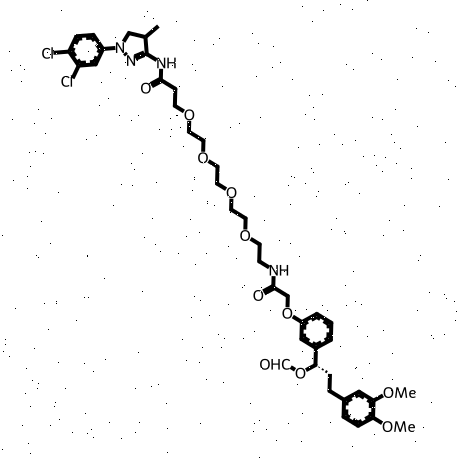 COc1ccc(CC[C@H](OC=O)c2cccc(OCC(=O)NCCOCCOCCOCCOCCC(=O)NC3=NN(c4ccc(Cl)c(Cl)c4)CC3C)c2)cc1OC